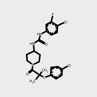 CC(C)(Oc1ccc(Cl)cc1)C(=O)N1CCC(NC(=O)Nc2ccc(Cl)c(F)c2)CC1